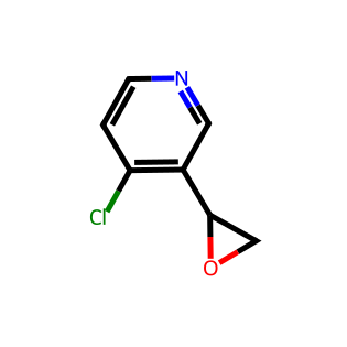 Clc1ccncc1C1CO1